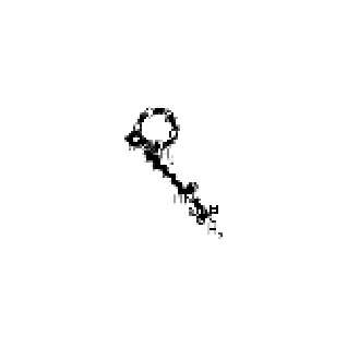 CC(=O)NC(=O)CNC(=O)CCCCCCCC/C=C\[Si]1(C)OCCOCCOCCOCCOC2CCCCC2O1